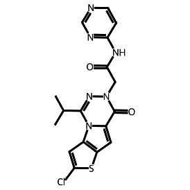 CC(C)c1nn(CC(=O)Nc2ccncn2)c(=O)c2cc3sc(Cl)cc3n12